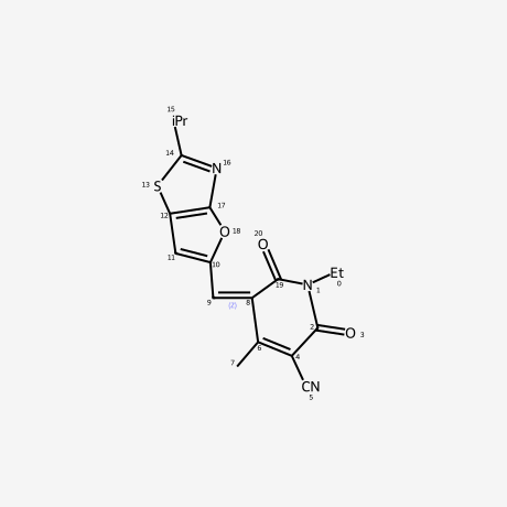 CCN1C(=O)C(C#N)=C(C)/C(=C/c2cc3sc(C(C)C)nc3o2)C1=O